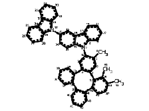 Cc1cc2c(cc1-n1c3ccccc3c3cc(-n4c5ccccc5c5ccccc54)ccc31)-c1ccccc1-c1ccccc1-c1ccc(C)c(C)c1-2